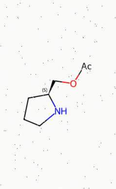 CC(=O)OC[C@@H]1CCCN1